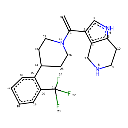 C=C(c1c[nH]c2c1CNCC2)N1CCC(c2ccccc2C(F)(F)F)CC1